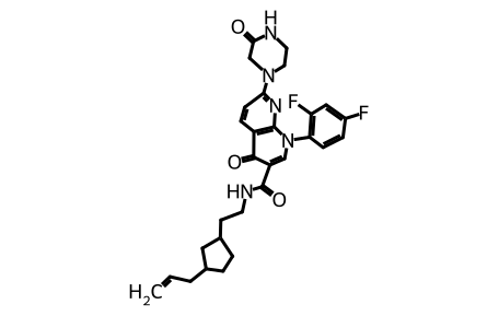 C=CCC1CCC(CCNC(=O)c2cn(-c3ccc(F)cc3F)c3nc(N4CCNC(=O)C4)ccc3c2=O)C1